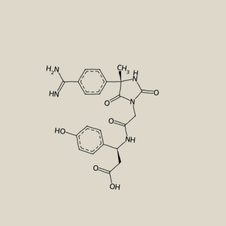 C[C@@]1(c2ccc(C(=N)N)cc2)NC(=O)N(CC(=O)N[C@@H](CC(=O)O)c2ccc(O)cc2)C1=O